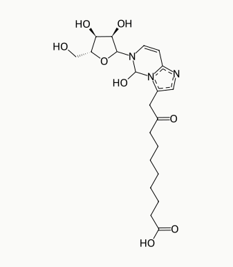 O=C(O)CCCCCCCC(=O)Cc1cnc2n1C(O)N(C1O[C@H](CO)[C@@H](O)[C@H]1O)C=C2